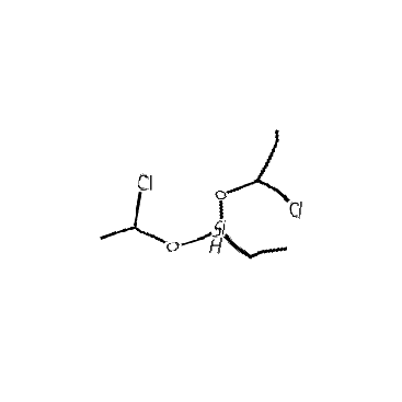 CC[SiH](OC(C)Cl)OC(C)Cl